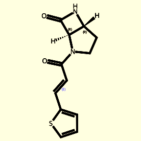 O=C1N[C@@H]2CCN(C(=O)/C=C/c3cccs3)[C@@H]12